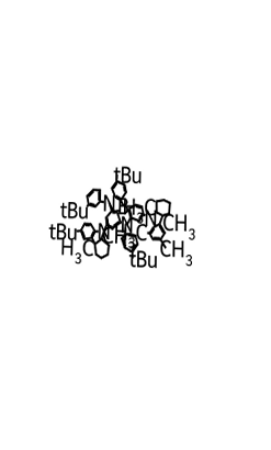 Cc1cc(C)c2c(c1)C1(C)CCCCC1(C)N2c1ccc2c(c1)N(c1ccc(C(C)(C)C)cc1)c1cc(N3c4ccc(C(C)(C)C)cc4C4(C)CCCCC34C)cc3c1B2c1ccc(C(C)(C)C)cc1N3c1cccc(C(C)(C)C)c1